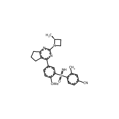 COc1ccc(-c2nc(N3CC[C@@H]3C)nc3c2CCC3)cc1S(=N)(=O)c1ccc(C#N)cc1C